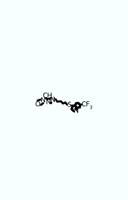 CC(c1cn(CCCCCCSc2ccnc3cc(C(F)(F)F)ccc23)cn1)N1CCOCC1